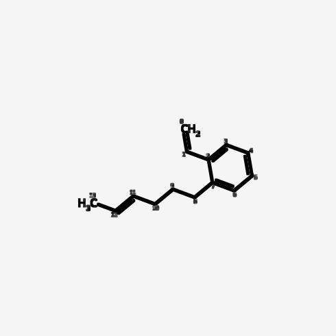 C=Cc1ccccc1CCCC=CC